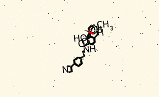 CN1CC[C@]23CC(=O)CC[C@@]2(O)[C@H]1Cc1ccc(C(=O)NCCc2ccc(C4=CCN=C4)cc2)c(O)c13